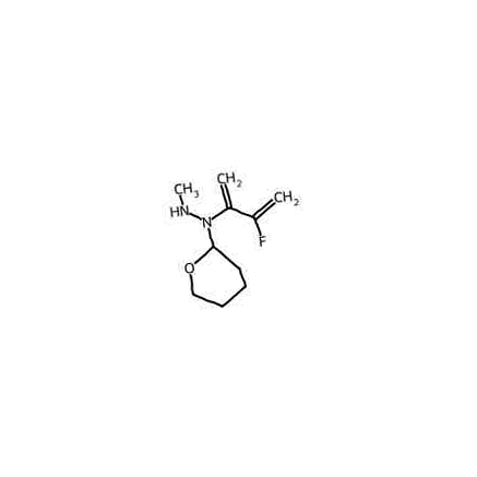 C=C(F)C(=C)N(NC)C1CCCCO1